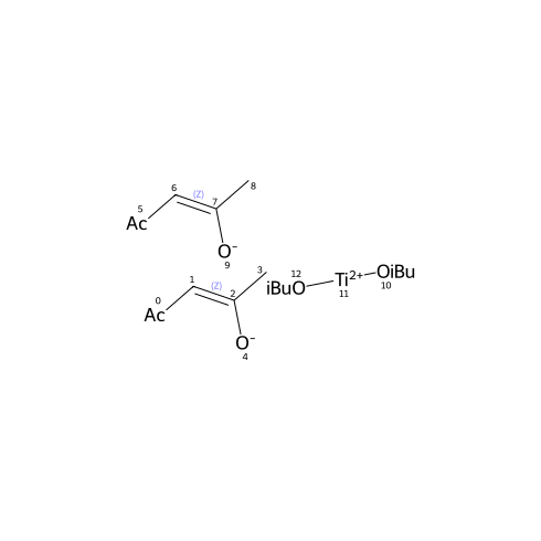 CC(=O)/C=C(/C)[O-].CC(=O)/C=C(/C)[O-].CC(C)C[O][Ti+2][O]CC(C)C